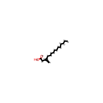 C=C1C(CCCCCCCCCCCC)C1CC(=O)O